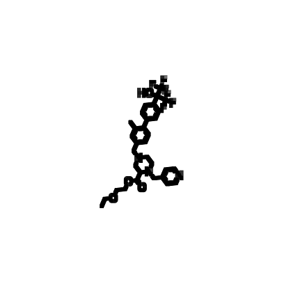 CCOCCOC(=O)C1CN(Cc2ccc(-c3ccc(C(O)(C(F)(F)F)C(F)(F)F)cc3)c(C)c2)CCN1Cc1ccncc1